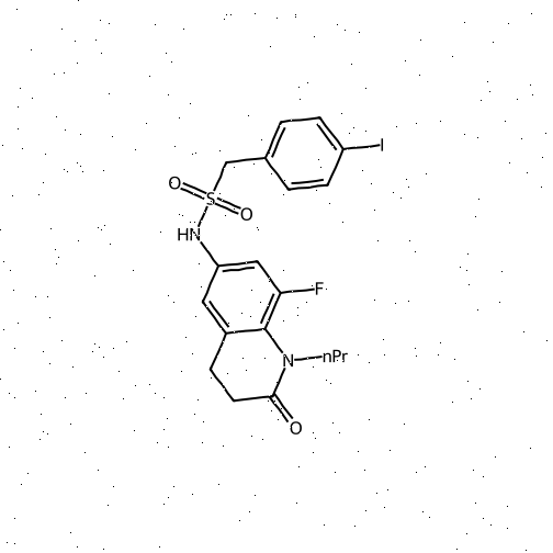 CCCN1C(=O)CCc2cc(NS(=O)(=O)Cc3ccc(I)cc3)cc(F)c21